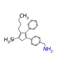 CCCCC1=C([SiH3])CC(c2ccc(CN)cc2)=C1c1ccccc1